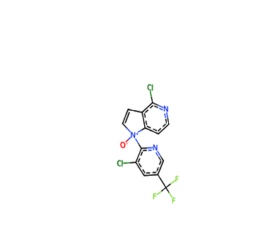 [O-][N+]1(c2ncc(C(F)(F)F)cc2Cl)C=Cc2c1ccnc2Cl